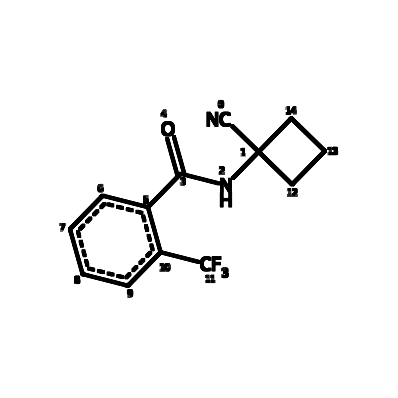 N#CC1(NC(=O)c2ccccc2C(F)(F)F)CCC1